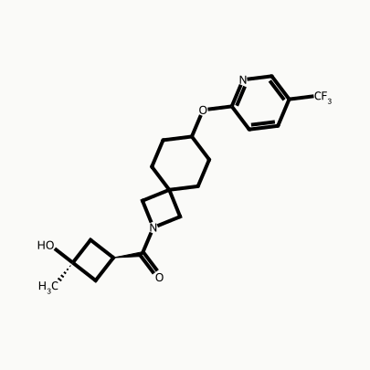 C[C@]1(O)C[C@@H](C(=O)N2CC3(CCC(Oc4ccc(C(F)(F)F)cn4)CC3)C2)C1